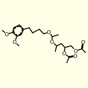 COc1ccc(CCCCOC(C)OC(C)CC(COC(C)=O)OC(C)=O)cc1OC